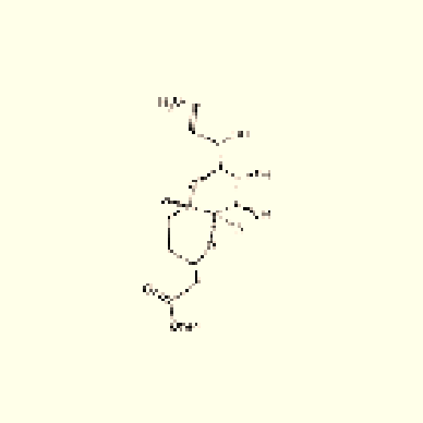 C/C=C/[C@H](O)[C@@H]1O[C@H]2CC[C@H](CC(=O)OC)O[C@@H]2[C@H](O)[C@@H]1O